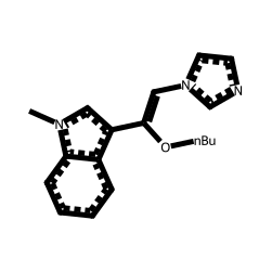 CCCCOC(=Cn1ccnc1)c1cn(C)c2ccccc12